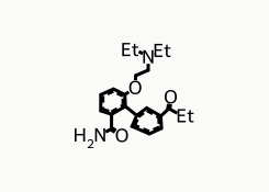 CCC(=O)c1cccc(-c2c(OCCN(CC)CC)cccc2C(N)=O)c1